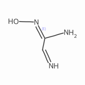 N=C/C(N)=N\O